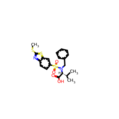 CSc1nc2ccc(S(=O)(=O)N(Cc3ccccc3)[C@@H](C(=O)O)C(C)C)cc2s1